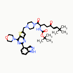 CC(C)(C)C=CC(=O)CCC(NC(=O)OC(C)(C)C)C(=O)N1CCN(Cc2cc3nc(-c4cccc5[nH]ncc45)nc(N4CCOCC4)c3s2)CC1